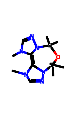 CN1C=NN2C1=C1N(C)C=NN1[Si](C)(C)O[Si]2(C)C